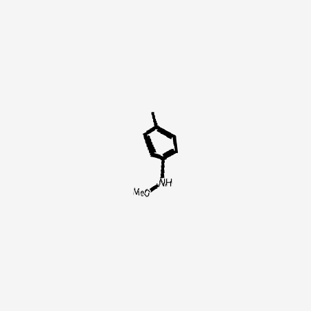 CONc1ccc(C)cc1